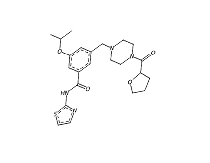 CC(C)Oc1cc(CN2CCN(C(=O)C3CCCO3)CC2)cc(C(=O)Nc2nccs2)c1